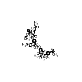 C=CCOC(=O)C1(C(=O)N[C@@H](CCCNC(N)=O)C(=O)Nc2ccc(C(OC(=O)OC3CC(C(=O)N[C@@H](C)c4ccc(-c5scnc5C)cc4)N(C(=O)OC(C)(C)C)C3)C(=O)N3CCN(C)CC3)cc2)CCC1